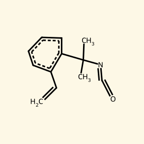 C=Cc1ccccc1C(C)(C)N=C=O